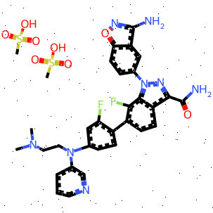 CN(C)CCN(c1cccnc1)c1ccc(-c2ccc3c(C(N)=O)nn(-c4ccc5onc(N)c5c4)c3c2F)c(F)c1.CS(=O)(=O)O.CS(=O)(=O)O